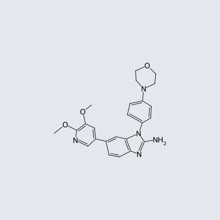 COc1cc(-c2ccc3nc(N)n(-c4ccc(N5CCOCC5)cc4)c3c2)cnc1OC